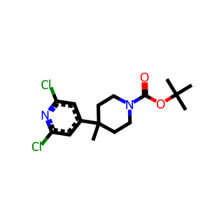 CC(C)(C)OC(=O)N1CCC(C)(c2cc(Cl)nc(Cl)c2)CC1